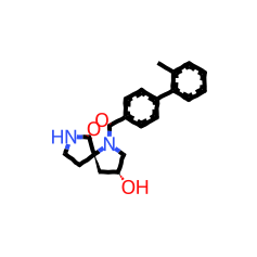 Cc1ccccc1-c1ccc(C(=O)N2C[C@H](O)C[C@]23CCNC3=O)cc1